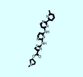 Cc1cccc(-c2nccc(Nc3ccnc(Nc4nc(C(=O)O[C@@H]5CCN(C)C5)cs4)n3)n2)n1